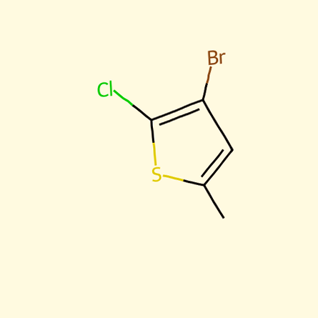 Cc1cc(Br)c(Cl)s1